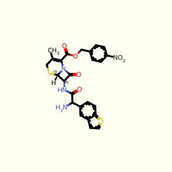 CC1=C(C(=O)OCc2ccc([N+](=O)[O-])cc2)N2C(=O)[C@@H](NC(=O)C(N)c3ccc4sccc4c3)[C@@H]2SC1